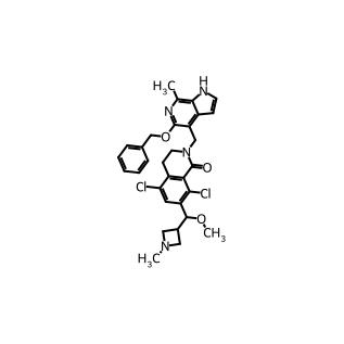 COC(c1cc(Cl)c2c(c1Cl)C(=O)N(Cc1c(OCc3ccccc3)nc(C)c3[nH]ccc13)CC2)C1CN(C)C1